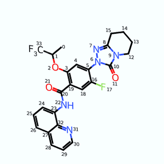 CC(Oc1cc(-n2nc3n(c2=O)CCCC3)c(F)cc1C(=O)Nc1cccc2cccnc12)C(F)(F)F